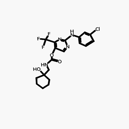 O=C(NCC1(O)CCCCC1)Oc1cnc(Nc2cccc(Cl)c2)nc1C(F)(F)F